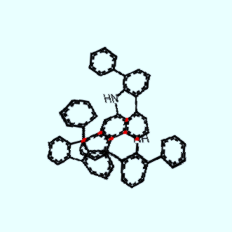 c1ccc(-c2cccc(-c3ccccc3)c2Nc2cc(Nc3c(-c4ccccc4)cccc3-c3ccccc3)cc(C3(c4ccccc4)c4ccccc4-c4ccccc43)c2)cc1